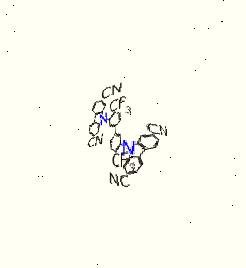 N#Cc1ccc2c3ccc(C#N)cc3n(-c3cc(-c4ccc(C(F)(F)F)c(-n5c6cc(C#N)ccc6c6ccc(C#N)cc65)c4)ccc3C(F)(F)F)c2c1